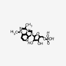 CC1=NN(C)c2ccnc3c2[n+]1cn3C1OC(COP(=O)(O)O)C(O)C1O